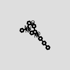 c1ccc(-c2ccc(-c3ccc(-c4nc5ccc(-c6ccc7oc8cccc(-c9nc(-c%10ccccc%10)nc(-c%10ccccc%10)n9)c8c7c6)cc5o4)cc3)cc2)cc1